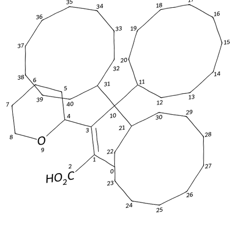 CC(C(=O)O)=C(C1CCCCO1)C(C1CCCCCCCCC1)(C1CCCCCCCCC1)C1CCCCCCCCC1